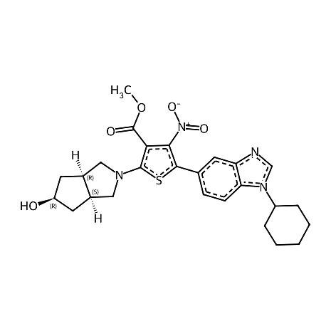 COC(=O)c1c(N2C[C@H]3C[C@@H](O)C[C@H]3C2)sc(-c2ccc3c(c2)ncn3C2CCCCC2)c1[N+](=O)[O-]